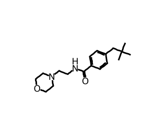 CC(C)(C)Cc1ccc(C(=O)NCCN2CCOCC2)cc1